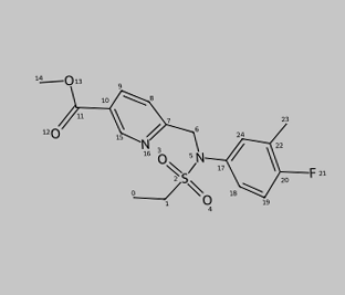 CCS(=O)(=O)N(Cc1ccc(C(=O)OC)cn1)c1ccc(F)c(C)c1